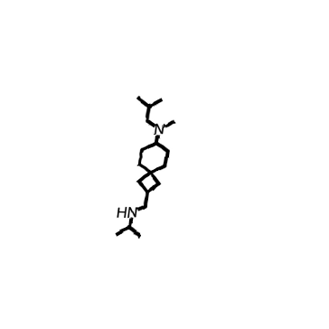 CC(C)CN(C)C1CCC2(CC1)CC(CNC(C)C)C2